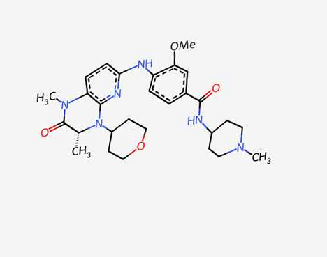 COc1cc(C(=O)NC2CCN(C)CC2)ccc1Nc1ccc2c(n1)N(C1CCOCC1)[C@H](C)C(=O)N2C